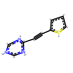 C(#Cc1cccs1)c1ncncn1